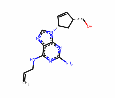 C=CCNc1nc(N)nc2c1ncn2[C@@H]1C=C[C@H](CO)C1